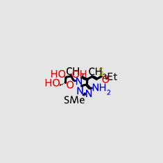 CCOC(=S)C=C(C)c1cn(C2O[C@H](CO)[C@@H](O)C2(C)O)c2nc(SC)nc(N)c12